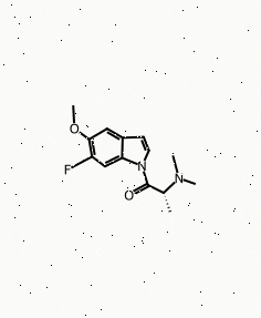 COc1cc2ccn(C(=O)[C@@H](C)N(C)C)c2cc1F